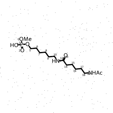 COP(=O)(O)OCCCCCCNC(=O)CCCCCNC(C)=O